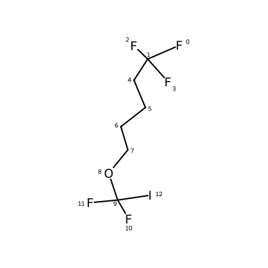 FC(F)(F)CCCCOC(F)(F)I